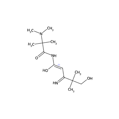 CN(C)C(C)(C)C(=O)N/C(O)=C/C(=N)C(C)(C)CO